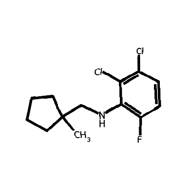 CC1(CNc2c(F)ccc(Cl)c2Cl)CCCC1